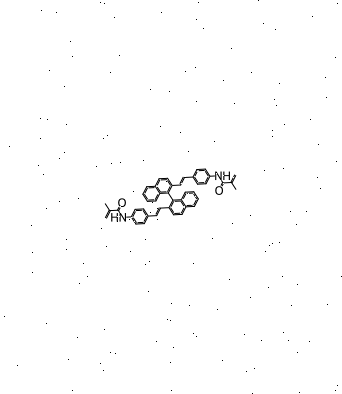 C=C(C)C(=O)Nc1ccc(/C=C/c2ccc3ccccc3c2-c2c(/C=C/c3ccc(NC(=O)C(=C)C)cc3)ccc3ccccc23)cc1